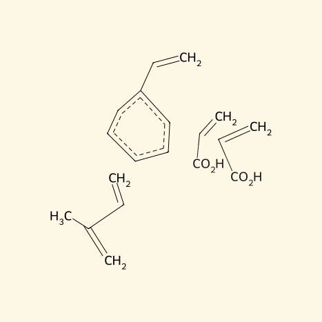 C=CC(=C)C.C=CC(=O)O.C=CC(=O)O.C=Cc1ccccc1